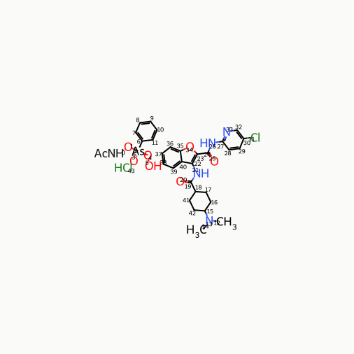 CC(=O)NO[As](=O)(OO)c1ccccc1.CN(C)C1CCC(C(=O)Nc2c(C(=O)Nc3ccc(Cl)cn3)oc3ccccc23)CC1.Cl